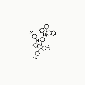 Cc1cc2c3c(c1)N(c1ccc(C(C)(C)C)cc1C)c1ccc(C(C)(C)C)cc1B3c1ccc(N3c4ccccc4C4(c5ccccc5)Cc5ccccc5CC34C)cc1N2c1ccc(C(C)(C)C)cc1